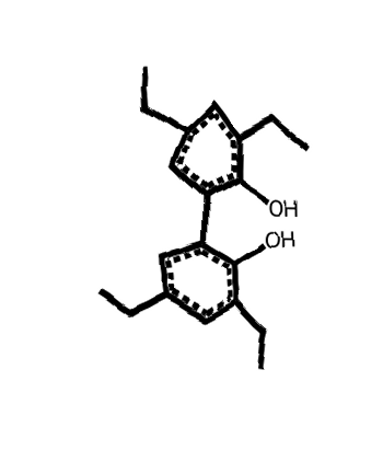 CCc1cc(CC)c(O)c(-c2cc(CC)cc(CC)c2O)c1